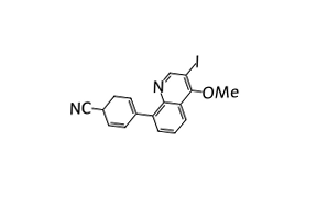 COc1c(I)cnc2c(C3=CCC(C#N)C=C3)cccc12